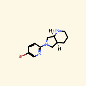 Brc1ccc(N2C[C@@H]3CCCN[C@@H]3C2)nc1